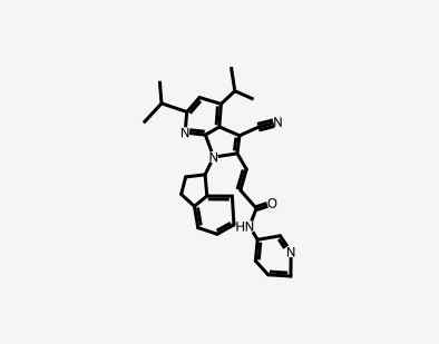 CC(C)c1cc(C(C)C)c2c(C#N)c(C=CC(=O)Nc3cccnc3)n(C3CCc4ccccc43)c2n1